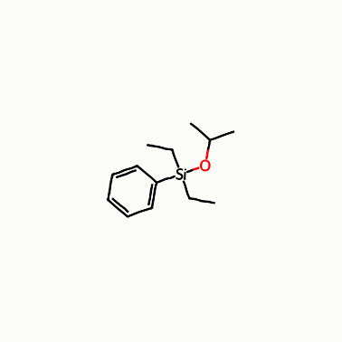 CC[Si](CC)(OC(C)C)c1ccccc1